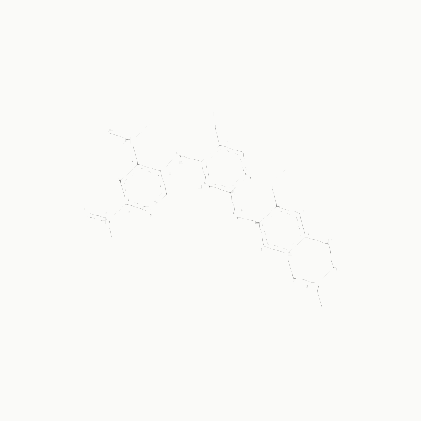 COc1cc2c(cc1Nc1ncc(Cl)c(Nc3ccc([N+](=O)[O-])cc3P(C)C)n1)CN(C)CC2